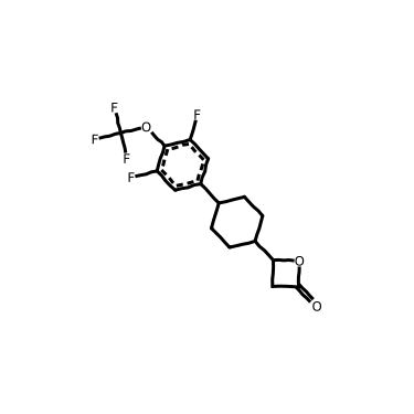 O=C1CC(C2CCC(c3cc(F)c(OC(F)(F)F)c(F)c3)CC2)O1